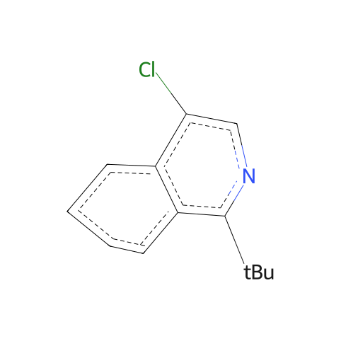 CC(C)(C)c1ncc(Cl)c2ccccc12